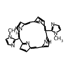 Cn1ccnc1-c1c2nc(cc3ccc([nH]3)c(-c3nccn3C)c3nc(cc4ccc1[nH]4)C=C3)C=C2